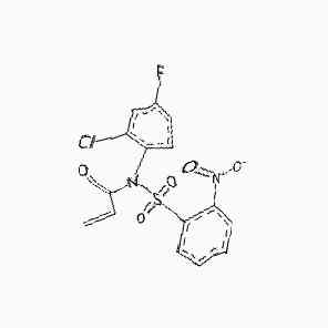 C=CC(=O)N(c1ccc(F)cc1Cl)S(=O)(=O)c1ccccc1[N+](=O)[O-]